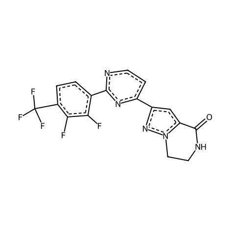 O=C1NCCn2nc(-c3ccnc(-c4ccc(C(F)(F)F)c(F)c4F)n3)cc21